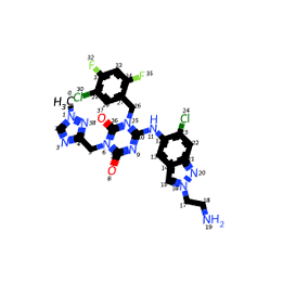 Cn1cnc(Cn2c(=O)nc(Nc3cc4cn(CCN)nc4cc3Cl)n(Cc3cc(Cl)c(F)cc3F)c2=O)n1